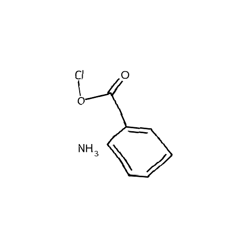 N.O=C(OCl)c1ccccc1